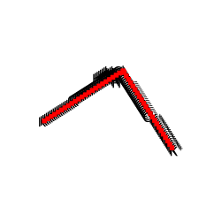 Cl.Cl.Cl.Cl.Cl.Cl.Cl.Cl.Cl.Cl.Cl.Cl.Cl.Cl.Cl.[Cl-].[Cl-].[Cl-].[Cl-].[Cl-].[Cl-].[Cl-].[Cl-].[Cl-].[Cl-].[Cl-].[Cl-].[Cl-].[Cl-].[Cl-].[Cl-].[Cl-].[Cl-].[Cl-].[Cl-].[Cl-].[Cl-].[Cl-].[Cl-].[Cl-].[Cl-].[Cl-].[Cl-].[Cl-].[Cl-].[Cl-].[Cl-].[Cl-].[Cl-].[Cl-].[Cl-].[Cl-].[Cl-].[Cl-].[Cl-].[K+].[K+].[K+].[K+].[K+].[K+].[K+].[K+].[K+].[K+].[K+].[K+].[K+].[K+].[K+].[K+].[K+].[K+].[K+].[K+].[K+].[K+].[K+].[K+].[K+].[K+].[K+].[K+].[K+].[K+].[K+].[K+].[K+].[K+].[K+].[K+].[K+].[K+].[K+].[K+]